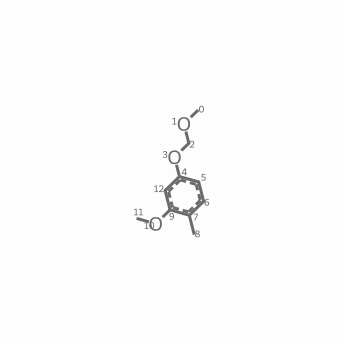 COCOc1ccc(C)c(OC)c1